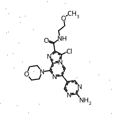 COCCNC(=O)c1nc2c(N3CCOCC3)nc(-c3cnc(N)nc3)cn2c1Cl